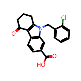 O=C(O)c1ccc2c3c(n(Cc4ccccc4Cl)c2c1)CCCC3=O